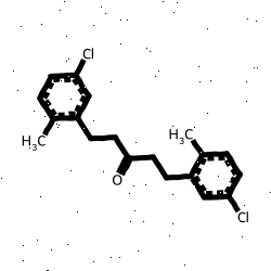 Cc1ccc(Cl)cc1CCC(=O)CCc1cc(Cl)ccc1C